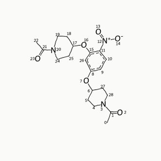 CC(=O)N1CCC(Oc2ccc([N+](=O)[O-])c(OC3CCN(C(C)=O)CC3)c2)CC1